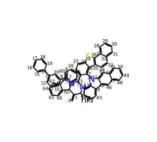 C=C(C(CCC)/N=C(\N=C(/C)c1cccc(-c2ccccc2)c1)c1ccc2sc3c4ccccc4ccc3c2c1-n1c2ccccc2c2cc3ccccc3cc21)C1c2ccccc2-c2ccccc21